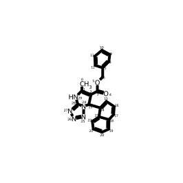 CC1=C(C(=O)OCc2ccccc2)C(c2cccc3ccccc23)n2nnnc2N1